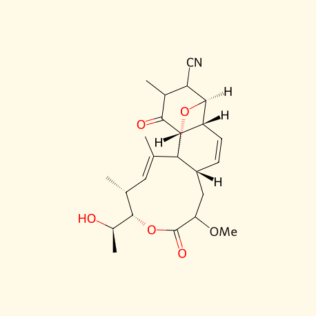 COC1C[C@H]2C=C[C@@H]3[C@H]4C(=O)C(C)C(C#N)[C@@H]3O[C@@]24/C(C)=C/[C@@H](C)[C@@H]([C@@H](C)O)OC1=O